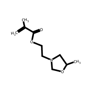 C=C(C)C(=O)OCCN1COC(C)C1